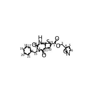 O=C(OCc1ccno1)c1cc2c(=O)n(Cc3ccccc3)c(=O)[nH]c2s1